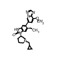 CCc1cc2c(cc1-c1cc(OC)c3ncnn3c1)[nH]c(=O)n2[C@@H]1CCCN(CC2CC2)C1